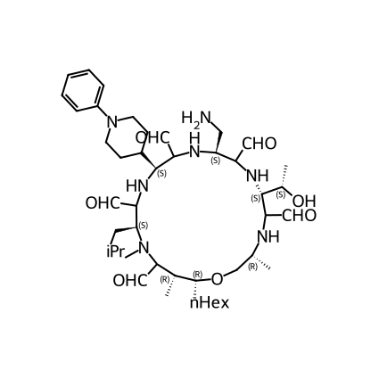 CCCCCC[C@H]1OC[C@@H](C)NC(C=O)[C@@H]([C@H](C)O)NC(C=O)[C@H](CN)NC(C=O)[C@H](C2CCN(c3ccccc3)CC2)NC(C=O)[C@H](CC(C)C)N(C)C(C=O)[C@H]1C